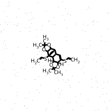 C=CSC1=CC2C3C=CC(SC=C)(C4OC(C)(C)OC34)C2[C@@H]2OC(C)(C)O[C@H]12